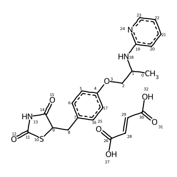 CC(COc1ccc(CC2SC(=O)NC2=O)cc1)Nc1ccccn1.O=C(O)C=CC(=O)O